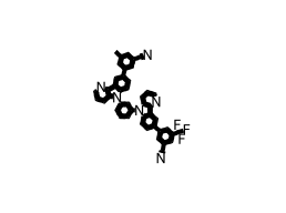 Cc1cc(C#N)cc(-c2ccc3c(c2)c2ncccc2n3-c2cccc(-n3c4ccc(-c5cc(C#N)cc(C(F)(F)F)c5)cc4c4ncccc43)c2)c1